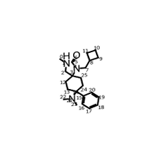 CNCC1(N(C=O)CC2CCC2)CCC(c2ccccc2)(N(C)C)CC1